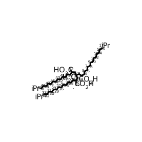 [CH2]C(CC(CCCCCCCCCCCCCC(C)C)C(=O)O)(CC(CCCCCCCCCCCCCC(C)C)C(=O)O)CC(CCCCCCCCCCCCCC(C)C)C(=O)O